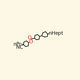 CCCCCCCC1CCC(C2CCC(C(=O)OC3CCC(C#N)(CCC)CC3)CC2)CC1